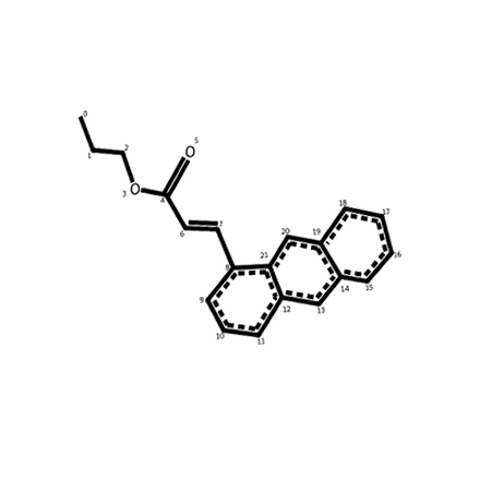 CCCOC(=O)C=Cc1cccc2cc3ccccc3cc12